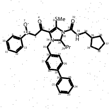 CSC1=C(C(=O)C[S+]([O-])c2ccccc2)N(Cc2ccc(-c3ccccc3)cc2)C(C(C)C)N1C(=O)NCC1CCCC1